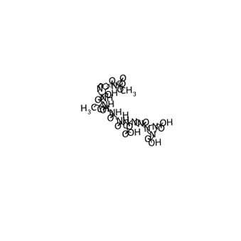 CCC(C)C(NC(=O)CCNC(=O)CCNC(=O)C(CCC(=O)O)NC(=O)CN1CCN(C(=O)CN2CCN(CC(=O)O)CCN(CC(=O)O)CC2)CC1)C(=O)N[C@H]1CCn2ccc3c2C(=C[C@@H](C(=O)N[C@H]2CC(=O)O[C@H]2OC)C3)C1=O